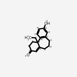 CCC12CCC(=O)C=C1CCCc1cc(O)ccc12